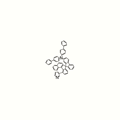 c1ccc(-c2ccc(N(c3ccc(-c4ccccc4)cc3)c3ccc4c(c3)C3(c5ccccc5-4)c4cccc(-c5cccnc5)c4-c4c3ccc3ccccc43)cc2)cc1